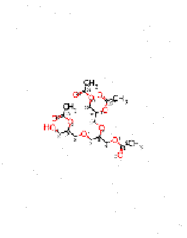 CC(=O)OCC(COCC(CO)OC(C)=O)OCC(COC(C)=O)OC(C)=O